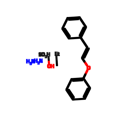 C(=Cc1ccccc1)Oc1ccccc1.CCC.N.N.O=S(=O)(O)O